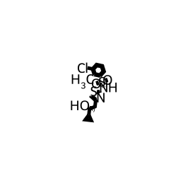 Cc1c(Cl)cccc1S(=O)(=O)Nc1nc(C[C@@H](O)C2CC2)cs1